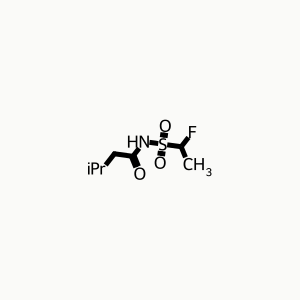 CC(C)CC(=O)NS(=O)(=O)C(C)F